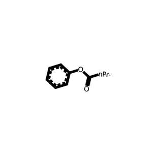 CC[C]C(=O)Oc1ccccc1